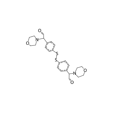 O=CC(c1ccc(SSc2ccc(C(C=O)N3CCOCC3)cc2)cc1)N1CCOCC1